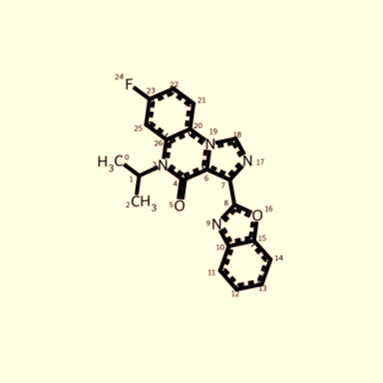 CC(C)n1c(=O)c2c(-c3nc4ccccc4o3)ncn2c2ccc(F)cc21